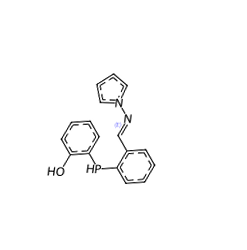 Oc1ccccc1Pc1ccccc1/C=N/n1cccc1